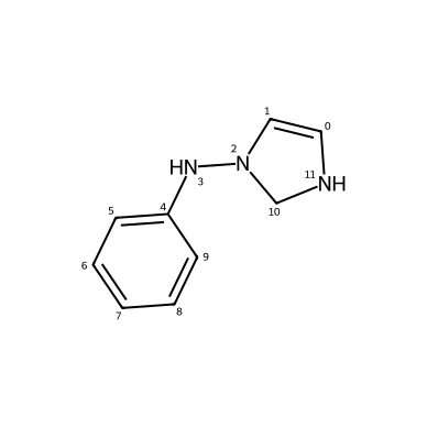 C1=CN(Nc2ccccc2)CN1